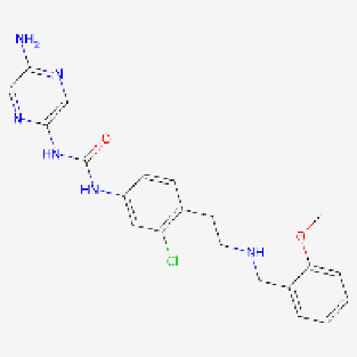 COc1ccccc1CNCCc1ccc(NC(=O)Nc2cnc(N)cn2)cc1Cl